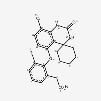 O=C(O)Cc1cccc(F)c1Oc1ccc(Cl)c2c1C1(CCCCC1)NC(=O)N2